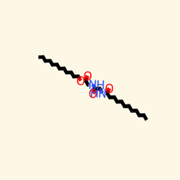 CCCCCCCCCCCCOC(=O)CNC(=O)CNC(=O)CCCCCCCCCCC